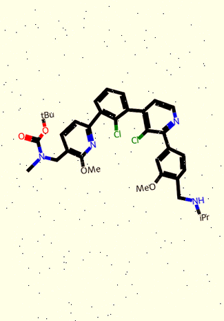 COc1cc(-c2nccc(-c3cccc(-c4ccc(CN(C)C(=O)OC(C)(C)C)c(OC)n4)c3Cl)c2Cl)ccc1CNC(C)C